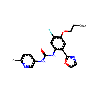 COCCOc1cc(-c2ncco2)c(NC(=O)Nc2ccc(C#N)nc2)cc1F